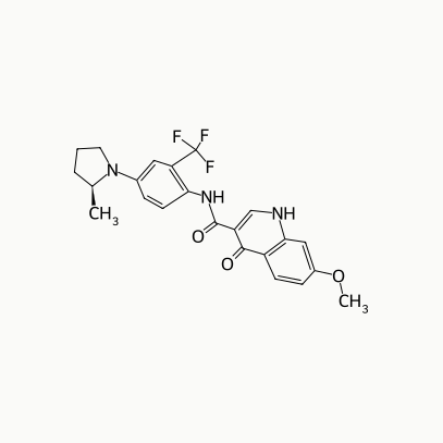 COc1ccc2c(=O)c(C(=O)Nc3ccc(N4CCC[C@@H]4C)cc3C(F)(F)F)c[nH]c2c1